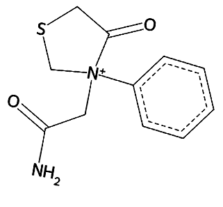 NC(=O)C[N+]1(c2ccccc2)CSCC1=O